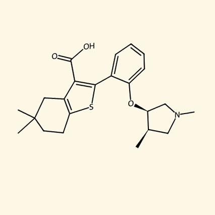 C[C@@H]1CN(C)C[C@@H]1Oc1ccccc1-c1sc2c(c1C(=O)O)CC(C)(C)CC2